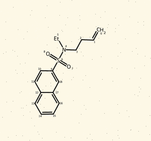 C=CCCN(CC)S(=O)(=O)c1ccc2ccccc2c1